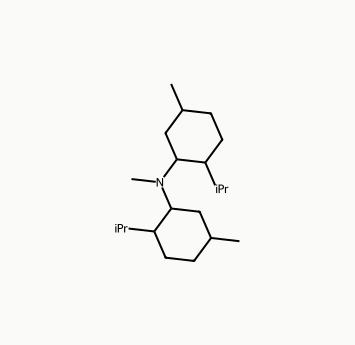 CC1CCC(C(C)C)C(N(C)C2CC(C)CCC2C(C)C)C1